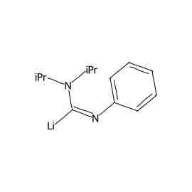 [Li][C](=Nc1ccccc1)N(C(C)C)C(C)C